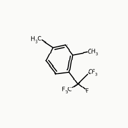 Cc1[c]c(C)c(C(F)(C(F)(F)F)C(F)(F)F)cc1